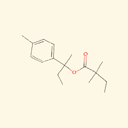 CCC(C)(C)C(=O)OC(C)(CC)c1ccc(C)cc1